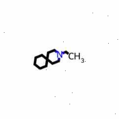 CCN1CCC2(CCCCC2)CC1